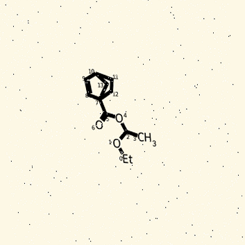 CCOC(C)OC(=O)C12C=CC(CC1)C2